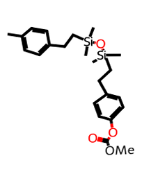 COC(=O)Oc1ccc(CC[Si](C)(C)O[Si](C)(C)CCc2ccc(C)cc2)cc1